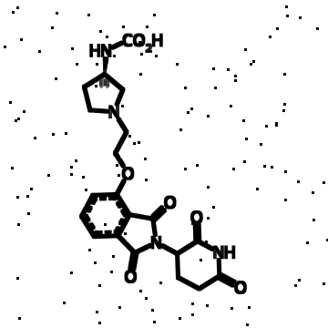 O=C(O)N[C@@H]1CCN(CCOc2cccc3c2C(=O)N(C2CCC(=O)NC2=O)C3=O)C1